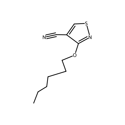 CCCCCCOc1nscc1C#N